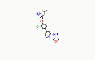 CC(C)CC(C)(N)COc1ccc(-c2ccnc(NC3CCOC3)c2)cc1Cl